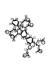 C[N+](CC1CO1)(CC1CO1)c1ccccc1OCC1CO1.c1ccc(C(c2ccccc2)(N(CC2CO2)CC2CO2)N(CC2CO2)CC2CO2)cc1